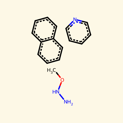 CONN.c1ccc2ccccc2c1.c1ccncc1